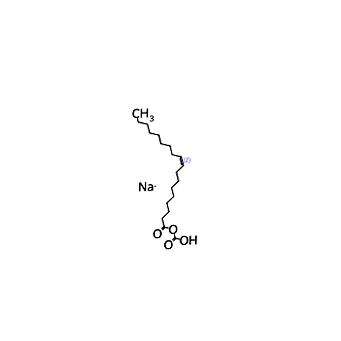 CCCCCCCC/C=C\CCCCCCCC(=O)OC(=O)O.[Na]